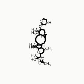 CC(=O)O[C@@H](C1C[C@@H](C)[C@H]2C(O1)[C@H](O)[C@@]1(C)CCC[C@H]3C(C)(C)[C@@H](O[C@H]4CNCCO4)CC[C@@]34CC4CC[C@]21C)C(C)(C)O